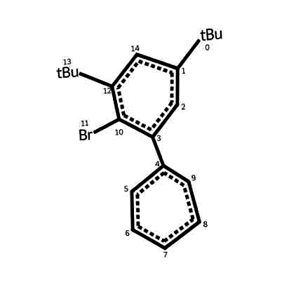 CC(C)(C)c1cc(-c2ccccc2)c(Br)c(C(C)(C)C)c1